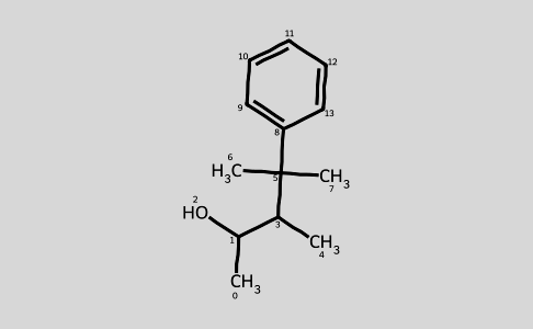 CC(O)C(C)C(C)(C)c1ccccc1